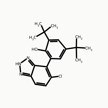 CC(C)(C)c1cc(-c2c(Cl)ccc3n[nH]nc23)c(O)c(C(C)(C)C)c1